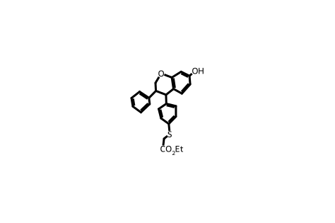 CCOC(=O)CSc1ccc(C2c3ccc(O)cc3OCC2c2ccccc2)cc1